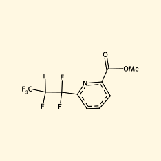 COC(=O)c1cccc(C(F)(F)C(F)(F)C(F)(F)F)n1